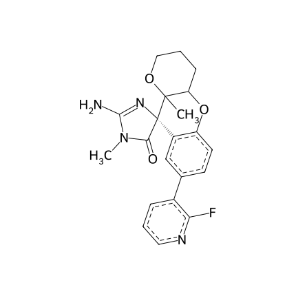 CN1C(=O)[C@]2(N=C1N)c1cc(-c3cccnc3F)ccc1OC1CCCOC12C